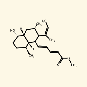 C/C=C(/C)C1[C@@H](/C=C/C=C/C(=O)OC)[C@H]2[C@@H](C[C@@H]1C)[C@@H](O)CC[C@@H]2C